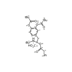 CCC(C)N[C@@](Cc1ccc(OC(=O)C(C)(C)C)c(OC(=O)C(C)(C)C)c1)(OC(=O)CC(C)C)C(=O)O